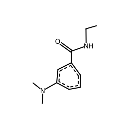 CCNC(=O)c1cccc(N(C)C)c1